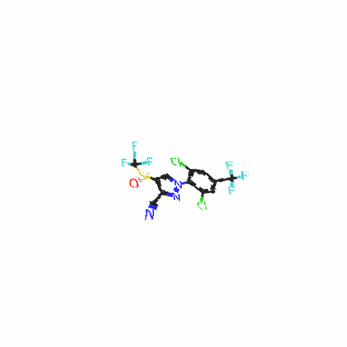 N#Cc1nn(-c2c(Cl)cc(C(F)(F)F)cc2Cl)cc1[S+]([O-])C(F)(F)F